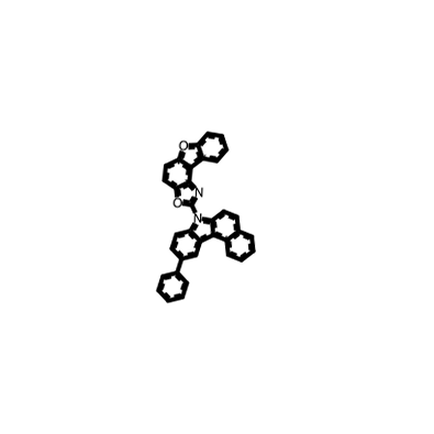 c1ccc(-c2ccc3c(c2)c2c4ccccc4ccc2n3-c2nc3c(ccc4oc5ccccc5c43)o2)cc1